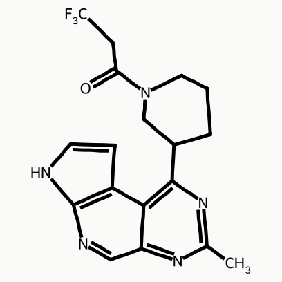 Cc1nc(C2CCCN(C(=O)CC(F)(F)F)C2)c2c(cnc3[nH]ccc32)n1